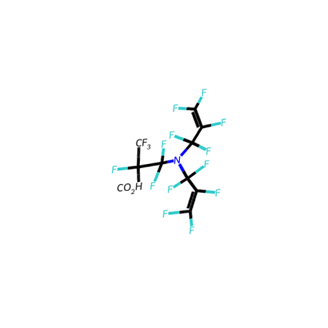 O=C(O)C(F)(C(F)(F)F)C(F)(F)N(C(F)(F)C(F)=C(F)F)C(F)(F)C(F)=C(F)F